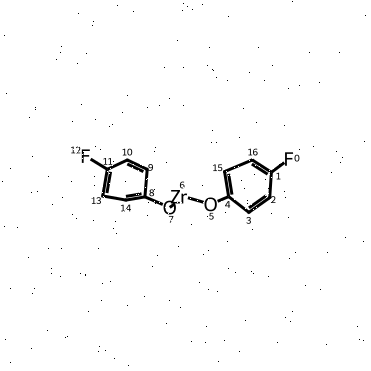 Fc1ccc([O][Zr][O]c2ccc(F)cc2)cc1